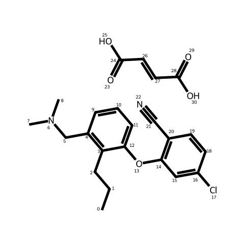 CCCc1c(CN(C)C)cccc1Oc1cc(Cl)ccc1C#N.O=C(O)/C=C/C(=O)O